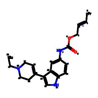 CCC/C=C/COC(=O)Nc1ccc2[nH]cc(C3=CCN(CC(C)(C)C)CC3)c2c1